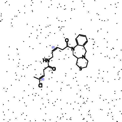 C/C(Cl)=C\CC(=O)NC/C=C\CC(=O)N1CC2CSCCN2Cc2ccccc21